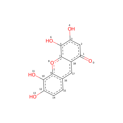 O=c1cc(O)c(O)c2oc3c(O)c(O)ccc3cc1-2